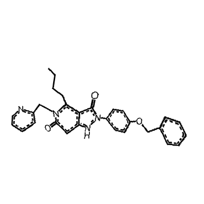 CCCCc1c2c(=O)n(-c3ccc(OCc4ccccc4)cc3)[nH]c2cc(=O)n1Cc1ccccn1